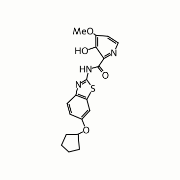 COc1ccnc(C(=O)Nc2nc3ccc(OC4CCCC4)cc3s2)c1O